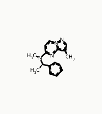 Cc1cnn2ccc(N(C)[C@H](C)c3ccccc3)nc12